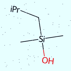 CC(C)C[Si](C)(C)O